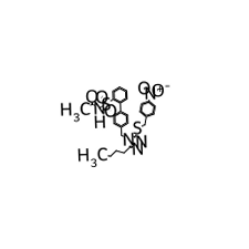 CCCCc1nnc(SCc2ccc([N+](=O)[O-])cc2)n1Cc1ccc(-c2ccccc2S(=O)(=O)NC(C)=O)cc1